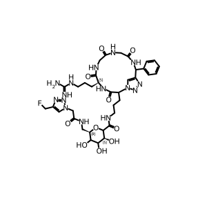 N=C(N)NCCC[C@@H]1NC(=O)C(CCCNC(=O)C2O[C@H](CNC(=O)Cn3cc(CF)nn3)C(O)C(O)[C@@H]2O)n2cc(nn2)C(c2ccccc2)NC(=O)CNC(=O)CNC1=O